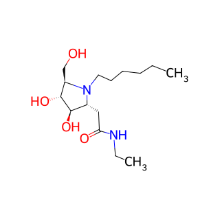 CCCCCCN1[C@H](CO)[C@@H](O)[C@H](O)[C@H]1CC(=O)NCC